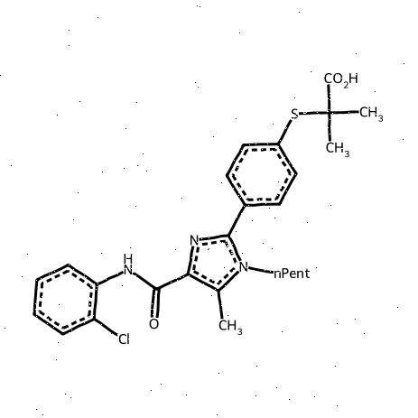 CCCCCn1c(-c2ccc(SC(C)(C)C(=O)O)cc2)nc(C(=O)Nc2ccccc2Cl)c1C